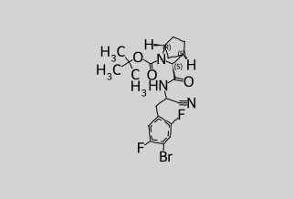 CC(C)(C)OC(=O)N1[C@@H]2CC[C@@H](C2)[C@H]1C(=O)NC(C#N)Cc1cc(F)c(Br)cc1F